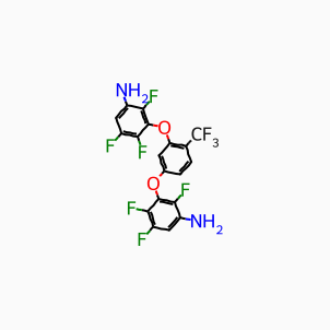 Nc1cc(F)c(F)c(Oc2ccc(C(F)(F)F)c(Oc3c(F)c(N)cc(F)c3F)c2)c1F